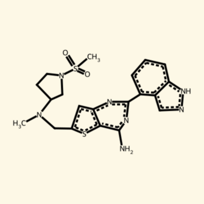 CN(Cc1cc2nc(-c3cccc4[nH]ncc34)nc(N)c2s1)C1CCN(S(C)(=O)=O)C1